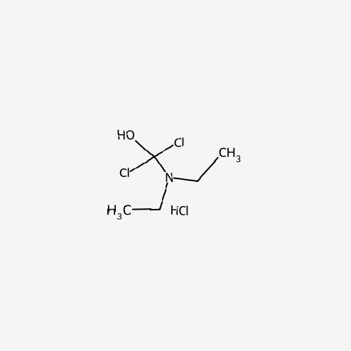 CCN(CC)C(O)(Cl)Cl.Cl